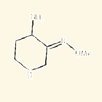 CO/N=C1\CNCCC1N